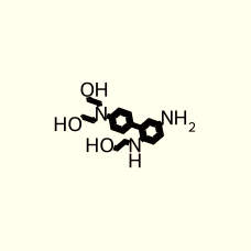 Nc1ccc(NCCO)c(-c2ccc(N(CCO)CCO)cc2)c1